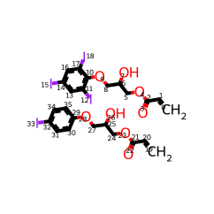 C=CC(=O)OCC(O)COc1c(I)cc(I)cc1I.C=CC(=O)OCC(O)COc1ccc(I)cc1